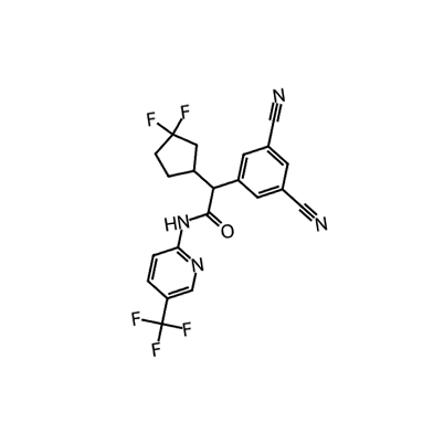 N#Cc1cc(C#N)cc(C(C(=O)Nc2ccc(C(F)(F)F)cn2)C2CCC(F)(F)C2)c1